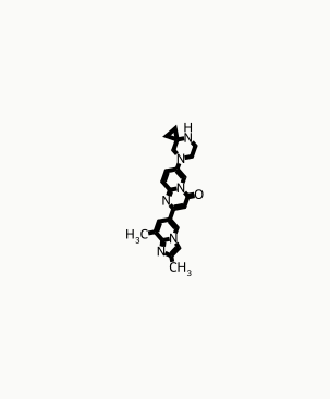 Cc1cn2cc(-c3cc(=O)n4cc(N5CCNC6(CC6)C5)ccc4n3)cc(C)c2n1